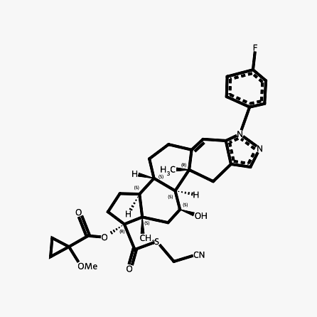 COC1(C(=O)O[C@]2(C(=O)SCC#N)CC[C@H]3[C@@H]4CCC5=Cc6c(cnn6-c6ccc(F)cc6)C[C@]5(C)[C@H]4[C@@H](O)C[C@@]32C)CC1